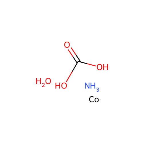 N.O.O=C(O)O.[Co]